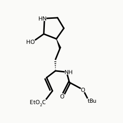 CCOC(=O)/C=C/[C@H](CC[C@@H]1CCNC1O)NC(=O)OC(C)(C)C